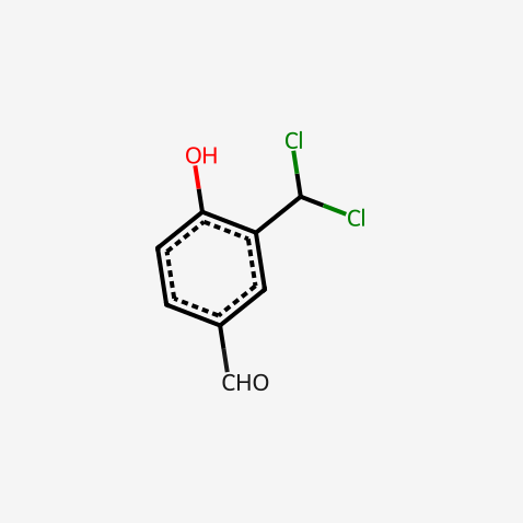 O=Cc1ccc(O)c(C(Cl)Cl)c1